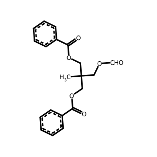 CC(COC=O)(COC(=O)c1ccccc1)COC(=O)c1ccccc1